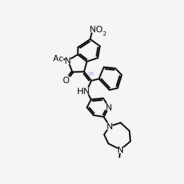 CC(=O)N1C(=O)/C(=C(\Nc2ccc(N3CCCN(C)CC3)nc2)c2ccccc2)c2ccc([N+](=O)[O-])cc21